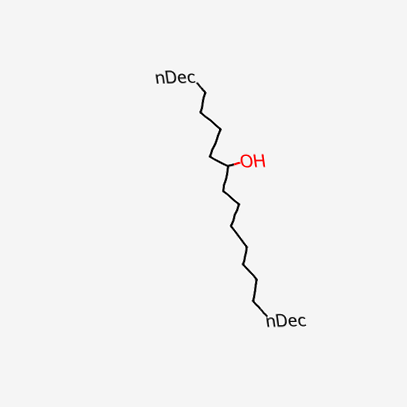 CCCCCCCCCCCCCCCCCC(O)CCCCCCCCCCCCCC